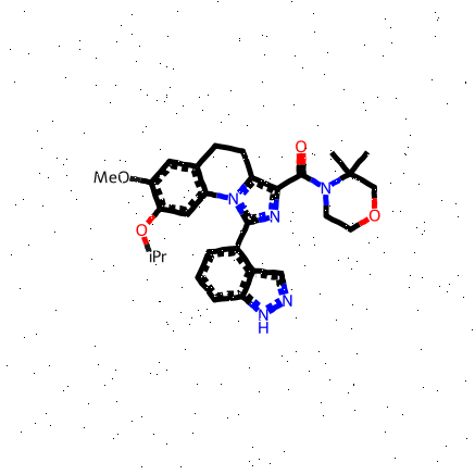 COc1cc2c(cc1OC(C)C)-n1c(-c3cccc4[nH]ncc34)nc(C(=O)N3CCOCC3(C)C)c1CC2